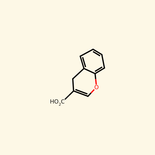 O=C(O)C1=COc2ccccc2C1